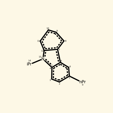 CCCc1ccc2c(c1)c1ccccc1n2C(C)C